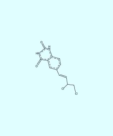 O=c1[nH]c(=O)c2cc(/C=C/C(Cl)CCl)ccc2[nH]1